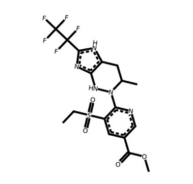 CCS(=O)(=O)c1cc(C(=O)OC)cnc1N1Nc2nc(C(F)(F)C(F)(F)F)[nH]c2CC1C